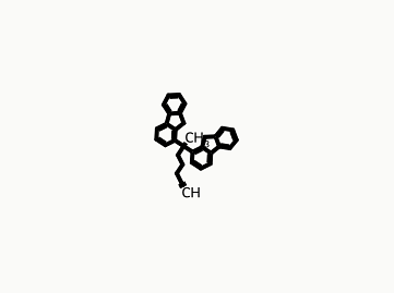 C#CCCCC(C)(c1cccc2c1Cc1ccccc1-2)c1cccc2c1Cc1ccccc1-2